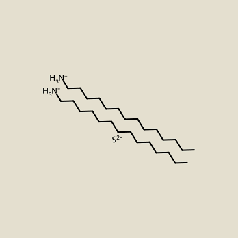 CCCCCCCCCCCCCC[NH3+].CCCCCCCCCCCCCC[NH3+].[S-2]